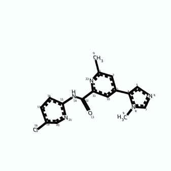 Cc1cc(-c2cncn2C)cc(C(=O)Nc2ccc(Cl)cn2)n1